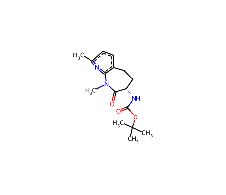 Cc1ccc2c(n1)N(C)C(=O)[C@@H](NC(=O)OC(C)(C)C)CC2